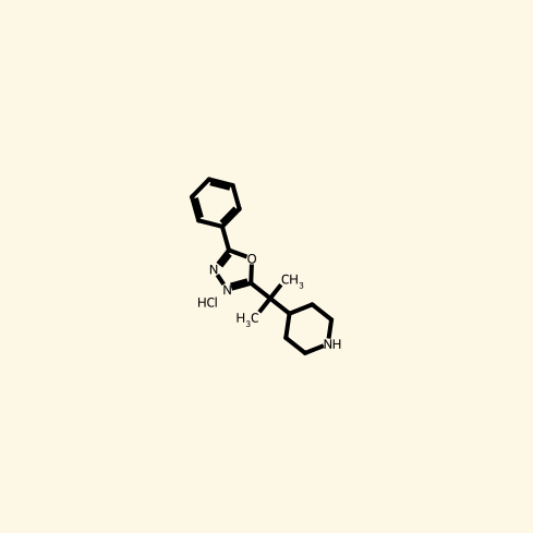 CC(C)(c1nnc(-c2ccccc2)o1)C1CCNCC1.Cl